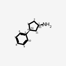 N[C@@H]1CC[C@H](c2ccccc2)C1